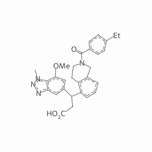 CCc1ccc(C(=O)N2CCc3c(cccc3C(CC(=O)O)c3cc(OC)c4c(c3)nnn4C)C2)cc1